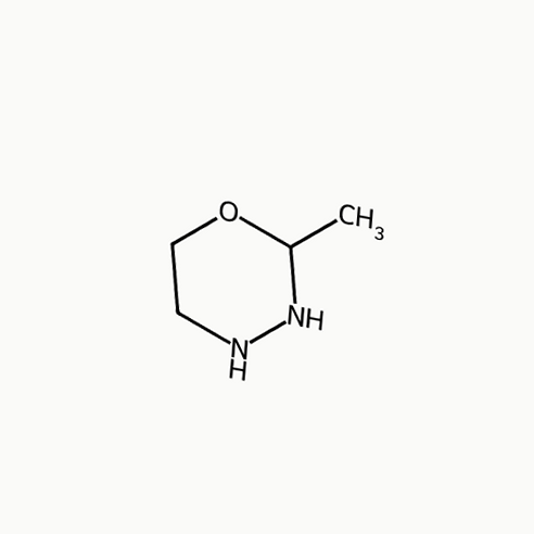 CC1NNCCO1